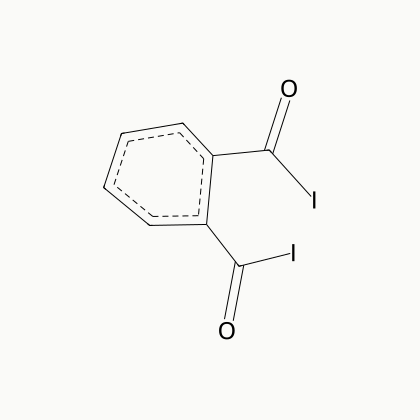 O=C(I)c1ccccc1C(=O)I